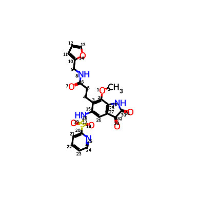 COc1c(CCC(=O)NCc2ccco2)c(NS(=O)(=O)c2ccccn2)cc2c1NC(=O)C2=O